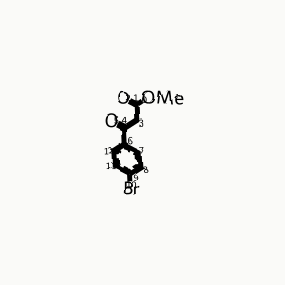 COC(=O)CC(=O)c1ccc(Br)cc1